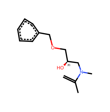 C=C(C)N(C)C[C@@H](O)COCc1ccccc1